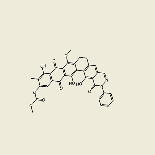 COC(=O)Oc1cc2c(c(O)c1C)C(=O)c1c(OC)c3c(c(O)c1C2=O)-c1c(cc2cnn(-c4ccccc4)c(=O)c2c1O)CC3